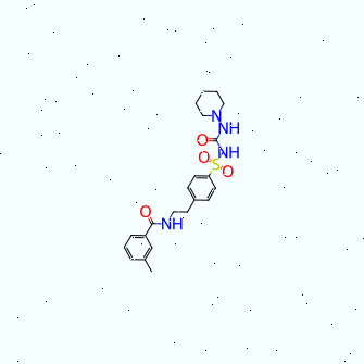 Cc1cccc(C(=O)NCCc2ccc(S(=O)(=O)NC(=O)NN3CCCCC3)cc2)c1